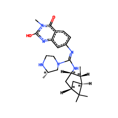 C[C@H]1[C@@H](NC(=Nc2ccc3c(=O)n(C)c(O)nc3c2)N2CCN[C@@H](C)C2)C[C@@H]2C[C@@H]1C2(C)C